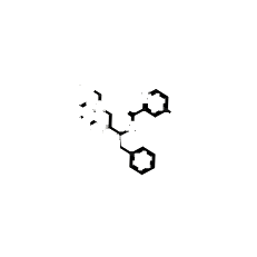 CC(=O)CN(C[C@@H](O)[C@H](Cc1ccccc1)NC(=O)c1cc(O)ccn1)S(=O)(=O)C(C)C